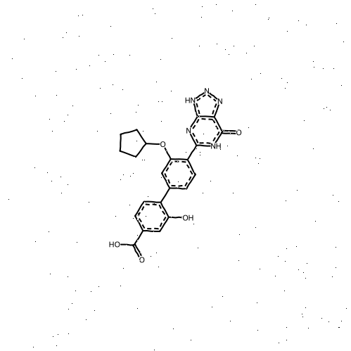 O=C(O)c1ccc(-c2ccc(-c3nc4[nH]nnc4c(=O)[nH]3)c(OC3CCCC3)c2)c(O)c1